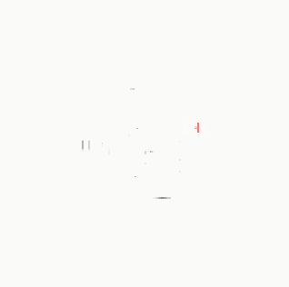 O=C(O)C1(c2ccccc2O)CCCC1